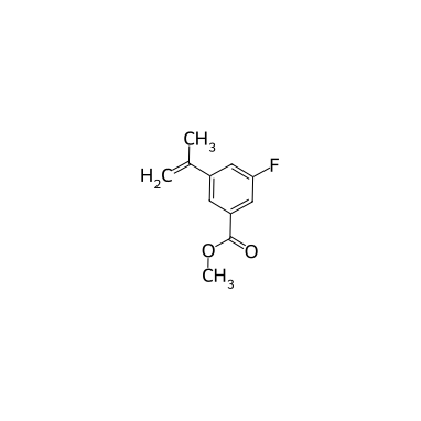 C=C(C)c1cc(F)cc(C(=O)OC)c1